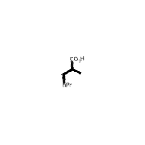 CCC[CH]C(C)C(=O)O